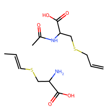 C=CCSCC(NC(C)=O)C(=O)O.CC=CSCC(N)C(=O)O